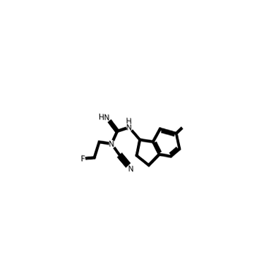 Cc1ccc2c(c1)C(NC(=N)N(C#N)CCF)CC2